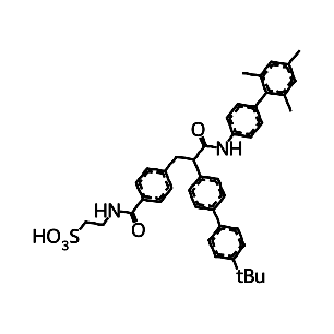 Cc1cc(C)c(-c2ccc(NC(=O)C(Cc3ccc(C(=O)NCCS(=O)(=O)O)cc3)c3ccc(-c4ccc(C(C)(C)C)cc4)cc3)cc2)c(C)c1